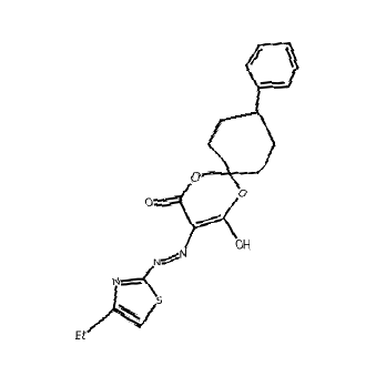 CCc1csc(N=NC2=C(O)OC3(CCC(c4ccccc4)CC3)OC2=O)n1